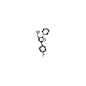 O=Cc1cc(-c2ccc(F)cc2)oc1-c1ccccc1